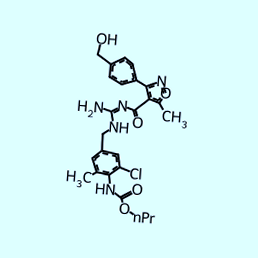 CCCOC(=O)Nc1c(C)cc(CN/C(N)=N\C(=O)c2c(-c3ccc(CO)cc3)noc2C)cc1Cl